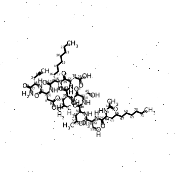 C#CC[C@H](NC(=O)[C@H](CC(=O)O)NC(=O)[C@H](CCCCCCCC)NC(=O)[C@H](CC(=O)O)NC(=O)[C@H](CC(C)C)N(C)C(=O)[C@H](CO)NC(=O)[C@H](CC(C)C)NC(=O)[C@H](CO)NC(=O)[C@H](CCCCCCCC)NC(C)=O)C(N)=O